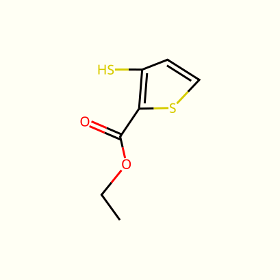 CCOC(=O)c1sccc1S